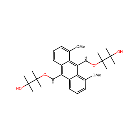 COc1cccc2c(BOC(C)(C)C(C)(C)O)c3cccc(OC)c3c(BOC(C)(C)C(C)(C)O)c12